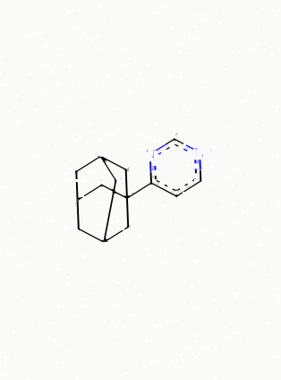 c1cc(C23CC4CC(CC(C4)C2)C3)ncn1